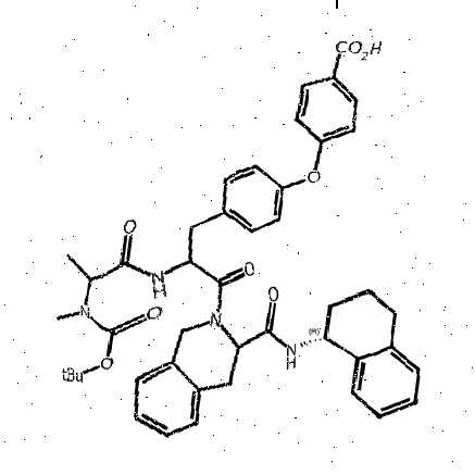 CC(C(=O)NC(Cc1ccc(Oc2ccc(C(=O)O)cc2)cc1)C(=O)N1Cc2ccccc2CC1C(=O)N[C@@H]1CCCc2ccccc21)N(C)C(=O)OC(C)(C)C